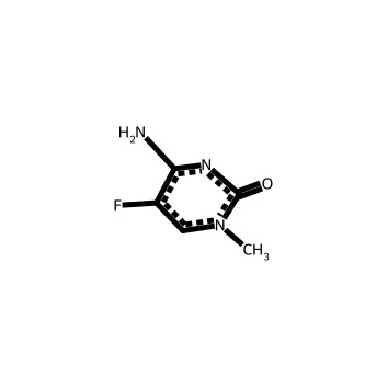 Cn1cc(F)c(N)nc1=O